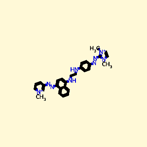 Cn1cc[n+](C)c1/N=N/c1ccc(NCCNc2ccc(/N=N/c3ccc[n+](C)c3)c3ccccc23)cc1